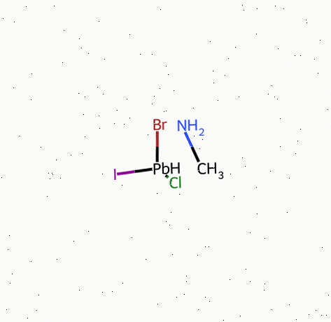 CN.[Cl][PbH]([Br])[I]